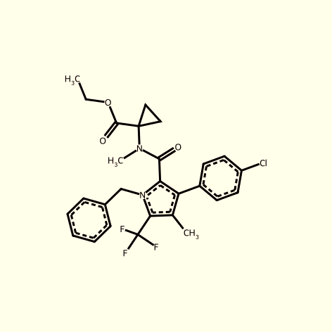 CCOC(=O)C1(N(C)C(=O)c2c(-c3ccc(Cl)cc3)c(C)c(C(F)(F)F)n2Cc2ccccc2)CC1